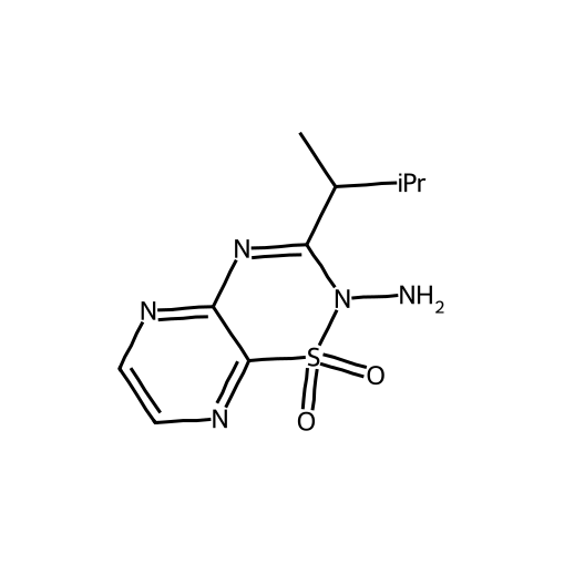 CC(C)C(C)C1=Nc2nccnc2S(=O)(=O)N1N